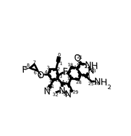 C#Cc1cc(O[C@@H]2C[C@H]2F)c(C#N)c(-c2c(-c3ccc4c(=O)[nH]nc(CN)c4c3)cnn2C)c1F